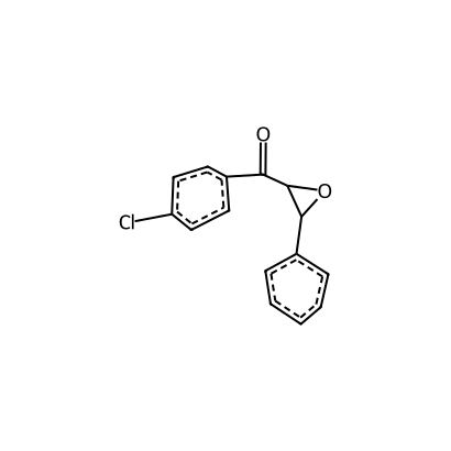 O=C(c1ccc(Cl)cc1)C1OC1c1ccccc1